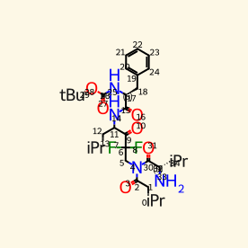 CC(C)CC(=O)N(CC(F)(F)C(=O)C(CC(C)C)NC(=O)[C@H](Cc1ccccc1)NC(=O)OC(C)(C)C)C(=O)[C@@H](N)C(C)C